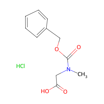 CN(CC(=O)O)C(=O)OCc1ccccc1.Cl